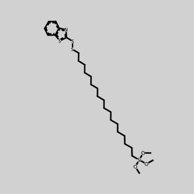 CO[Si](CCCCCCCCCCCCCCCCCCSSc1nc2ccccc2s1)(OC)OC